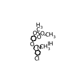 CCOC(=O)C(C)Oc1ccc(OC2=Cc3cc(Cl)ccc3N(C)C2)cc1.I